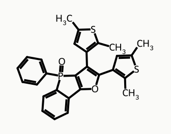 Cc1cc(-c2oc3c(c2-c2cc(C)sc2C)P(=O)(c2ccccc2)c2ccccc2-3)c(C)s1